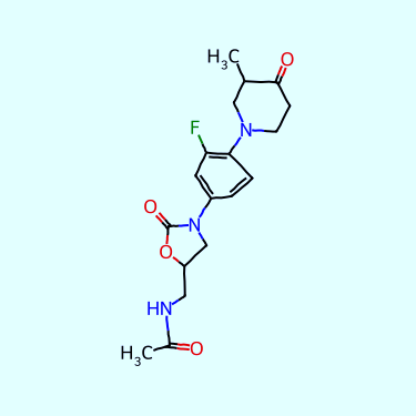 CC(=O)NCC1CN(c2ccc(N3CCC(=O)C(C)C3)c(F)c2)C(=O)O1